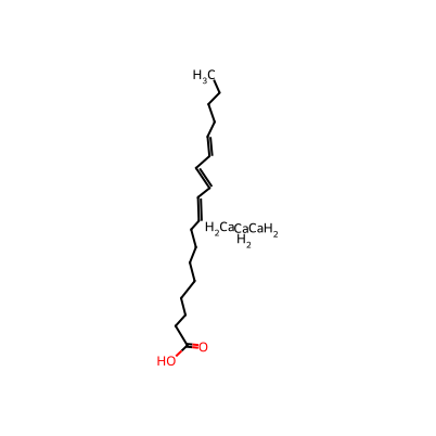 CCCCC=CC=CC=CCCCCCCCC(=O)O.[CaH2].[CaH2].[CaH2]